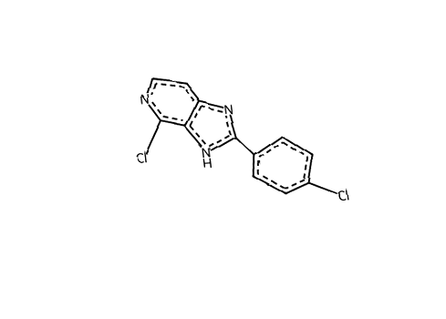 Clc1ccc(-c2nc3ccnc(Cl)c3[nH]2)cc1